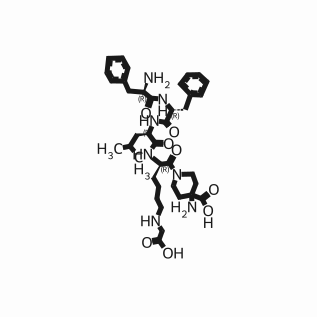 CC(C)C[C@@H](NC(=O)[C@@H](Cc1ccccc1)NC(=O)[C@H](N)Cc1ccccc1)C(=O)N[C@H](CCCCNCC(=O)O)C(=O)N1CCC(N)(C(=O)O)CC1